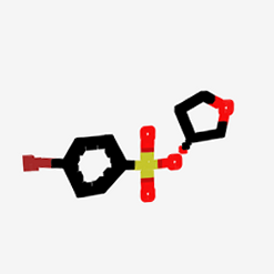 O=S(=O)(O[C@@H]1CCOC1)c1ccc(Br)cc1